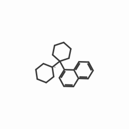 c1ccc2c(C3([C]4CCCCC4)CCCCC3)cccc2c1